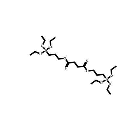 CCO[Si](CCCOC(=S)CCC(=S)OCCC[Si](OCC)(OCC)OCC)(OCC)OCC